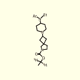 [2H]C([2H])(C)OC(=O)N1CCC2(CC(N3CCC(N(CC)C(C)=O)CC3)C2)C1